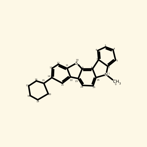 Cn1c2ccccc2c2c3sc4ccc(C5CCCCC5)cc4c3ccc21